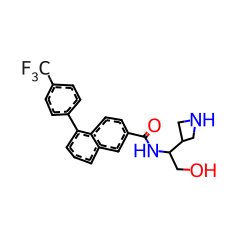 O=C(NC(CO)C1CNC1)c1ccc2c(-c3ccc(C(F)(F)F)cc3)cccc2c1